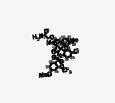 CNC(=O)[C@@H]1C[C@@H](OCC(N)=O)C[N+]1(C)C1(c2cc(C)ccc2OC)C(=O)N(S(=O)(=O)c2ccc(OC)cc2OC(F)(F)F)c2ccc(Cl)cc21